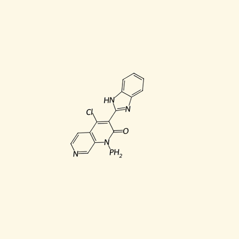 O=c1c(-c2nc3ccccc3[nH]2)c(Cl)c2ccncc2n1P